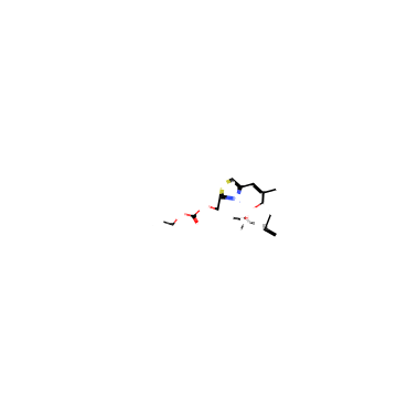 C=CC[C@H](O[Si](CC)(CC)CC)C(C)=Cc1csc(COC(=O)OCC(Cl)(Cl)Cl)n1